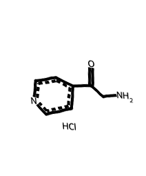 Cl.NCC(=O)c1ccncc1